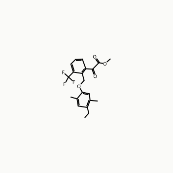 CCc1cc(C)c(OCc2c(C(=O)C(=O)OC)cccc2C(F)(F)F)cc1C